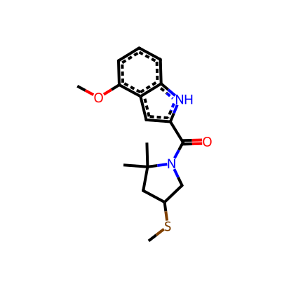 COc1cccc2[nH]c(C(=O)N3CC(SC)CC3(C)C)cc12